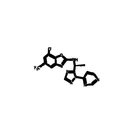 C[C@H](Nc1nc2cc(C(F)(F)F)cc(Cl)c2o1)c1ncnn1-c1ccncn1